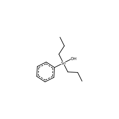 CC[CH2][Sn]([OH])([CH2]CC)[c]1ccccc1